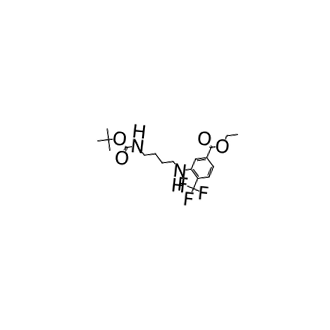 CCOC(=O)c1ccc(C(F)(F)F)c(NCCCCNC(=O)OC(C)(C)C)c1